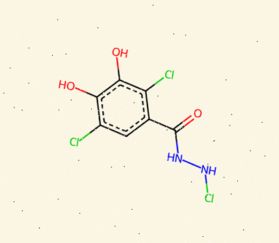 O=C(NNCl)c1cc(Cl)c(O)c(O)c1Cl